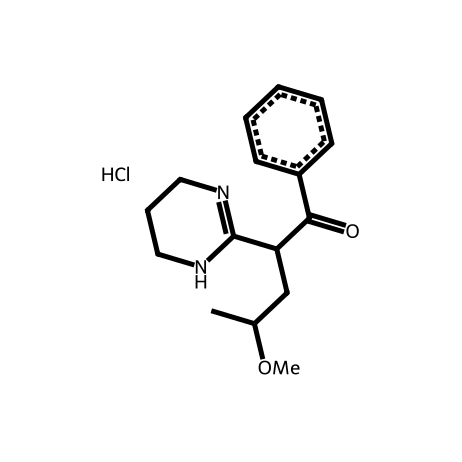 COC(C)CC(C(=O)c1ccccc1)C1=NCCCN1.Cl